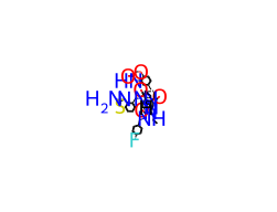 C=CCN(C(=O)NCc1ccc(F)cc1)N1CC(=O)N2[C@@H](Cc3ccc4c(c3)NC(=O)CO4)C(=O)N(Cc3cccc4sc(N)nc34)C[C@@H]21